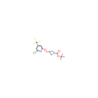 CC(C)(C)OC(=O)N1CC(COc2cc(C(F)(F)F)cc(Cl)n2)C1